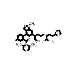 CCC(CCC[C@H](CCC1OCCO1)C(C)C)c1cc(-c2ccc(F)cc2C(=O)N2[C@H](C)COC[C@H]2C)c2cnn(C)c2c1